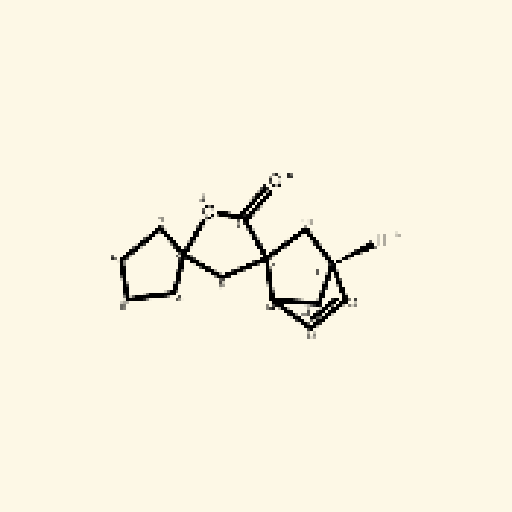 O=C1OC2(CCCC2)CC12C[C@@H]1C=CC2C1